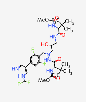 COC(=O)NC(C(=O)NC[C@@H](O)CN(Cc1c(F)cc(/C(C=N)=C/NC(F)F)cc1F)NC(=O)[C@@H](NC(=O)OC)C(C)(C)C(F)(F)F)C(C)(C)C(F)(F)F